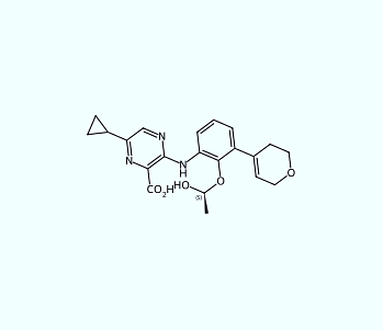 C[C@@H](O)Oc1c(Nc2ncc(C3CC3)nc2C(=O)O)cccc1C1=CCOCC1